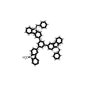 Cn1c2ccccc2c2cc(-c3cc(-c4ccc5c(c4)c4ccccc4n5Cc4ccccc4)cc(-c4ccc5c(c4)c4ccccc4n5Cc4ccccc4)c3)ccc21